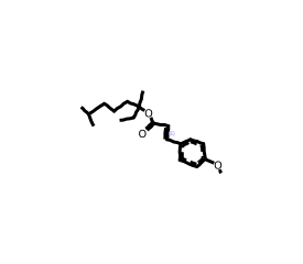 CCC(C)(CCCC(C)C)OC(=O)/C=C/c1ccc(OC)cc1